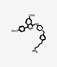 COc1ccc(-c2nnc(NC3CCN(Cc4ccc(CCCCN(C)C)cc4)CC3)c3cc(OC)ccc23)cc1